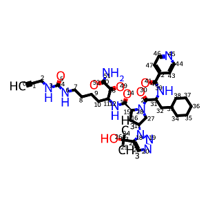 C#CCNC(=O)NCCCCC(NC(=O)[C@@H]1C[C@H](n2nncc2C(C)(C)O)CN1C(=O)C(CC1CCCCC1)NC(=O)c1ccncc1)C(=O)C(N)=O